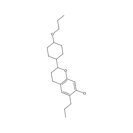 CCCOC1CCC(C2CCc3cc(CCC)c(Cl)cc3O2)CC1